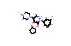 O=c1c(OC2CCCC2)c(N2CCN(S)CC2)cnn1-c1cc(F)cc(Cl)c1